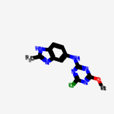 CCOc1nc(Cl)nc(Nc2ccc3[nH]c(C(F)(F)F)nc3c2)n1